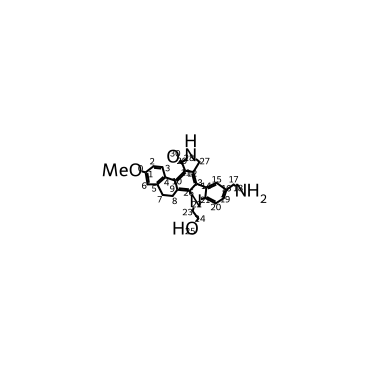 COc1ccc2c(c1)CCc1c-2c2c(c3c4cc(CN)ccc4n(CCO)c13)CNC2=O